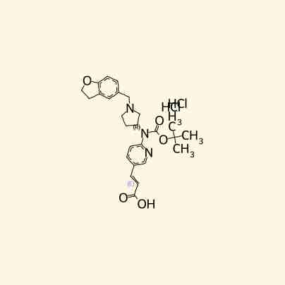 CC(C)(C)OC(=O)N(c1ccc(/C=C/C(=O)O)cn1)[C@@H]1CCN(Cc2ccc3c(c2)CCO3)C1.Cl.Cl